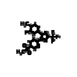 Cc1ccc(-c2nc(C(F)(F)F)nn2-c2ccc(S(C)(=O)=O)cn2)cc1F